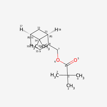 CC(C)(C)C(=O)OCC1=CC[C@H]2C[C@@H]1C2(C)C